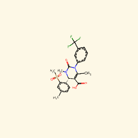 CC1=C(C(=O)O)[C@H](c2ccc(C)cc2S(C)(=O)=O)N(C)C(=O)N1c1cccc(C(F)(F)F)c1